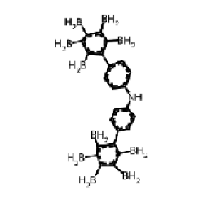 Bc1c(B)c(B)c(-c2ccc(Nc3ccc(-c4c(B)c(B)c(B)c(B)c4B)cc3)cc2)c(B)c1B